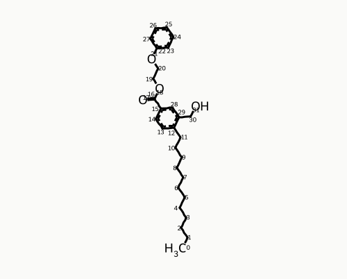 CCCCCCCCCCCCc1ccc(C(=O)OCCOc2ccccc2)cc1CO